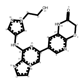 O=C1COc2ncc(-c3cn4ccnc4c(Nc4cnn(CCO)c4)n3)cc2N1